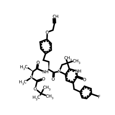 C#CCOc1ccc(CC[C@H](NC(=O)[C@H](C)N(C)C(=O)OC(C)(C)C)C(=O)N2CC(C)(C)c3[nH]c(=O)c(Cc4ccc(F)cc4)cc32)cc1